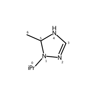 CC(C)N1N=CNC1C